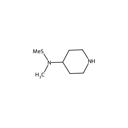 CSN(C)C1CCNCC1